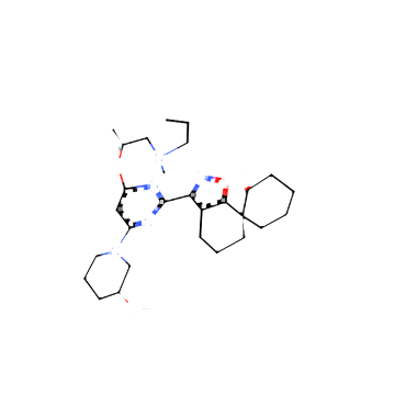 C[C@H](Oc1cc(N2CCC[C@H](O)C2)nc(-c2noc3c2CCC[C@@]32CCCCC2=O)n1)[C@@H]1CCCN1C